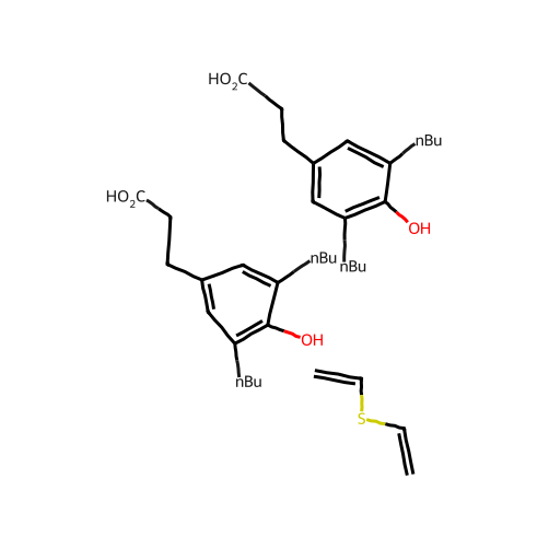 C=CSC=C.CCCCc1cc(CCC(=O)O)cc(CCCC)c1O.CCCCc1cc(CCC(=O)O)cc(CCCC)c1O